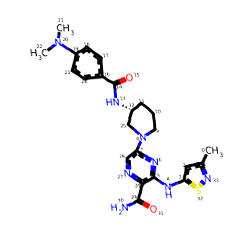 Cc1cc(Nc2nc(N3CCC[C@@H](NC(=O)c4ccc(N(C)C)cc4)C3)cnc2C(N)=O)sn1